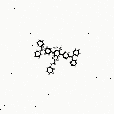 Nc1c(N=S)c(-c2ccc(N(c3ccccc3)c3ccccc3)cc2)c2nn(CCC3CCCCC3)nc2c1-c1ccc(N(c2ccccc2)c2ccccc2)cc1